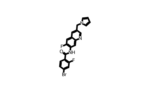 O=C(Nc1cc2ncc(Cn3cccc3)cc2cc1F)c1ccc(Br)cc1F